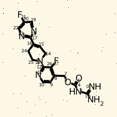 N=C(N)NC(=O)OCc1ccnc(N2CC=C(c3ncc(F)cn3)CC2)c1F